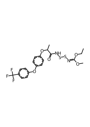 CCOC(=NSSNC(=O)C(C)Oc1ccc(Oc2ccc(C(F)(F)F)cc2)cc1)OC